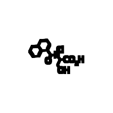 O=C(O)C(CO)N(Cl)C(=O)c1cccc2ccccc12